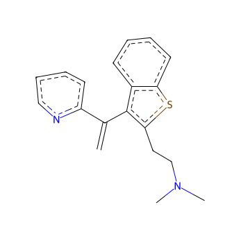 C=C(c1ccccn1)c1c(CCN(C)C)sc2ccccc12